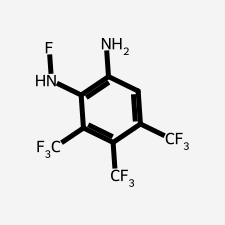 Nc1cc(C(F)(F)F)c(C(F)(F)F)c(C(F)(F)F)c1NF